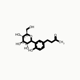 CC(=O)CCc1ccc(O)c(C2O[C@H](CO)[C@@H](O)[C@H](O)[C@H]2O)c1